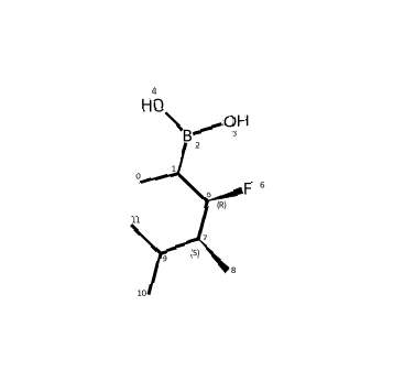 CC(B(O)O)[C@@H](F)[C@@H](C)C(C)C